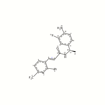 CC(C)c1nc(C(F)(F)F)ccc1/C=C/C(=O)N[C@H](C)c1ccc(N)c(F)c1